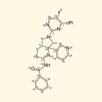 CC(C)c1nc(N2CC3CSC(NC(=O)c4ccccc4)=NC3(c3cccnc3)C2)ncc1F